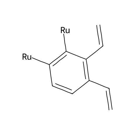 C=Cc1cc[c]([Ru])[c]([Ru])c1C=C